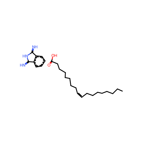 CCCCCCCC/C=C\CCCCCCCC(=O)O.N=C1NC(=N)c2ccccc21